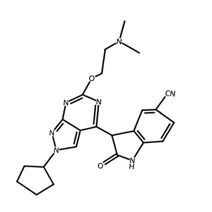 CN(C)CCOc1nc(C2C(=O)Nc3ccc(C#N)cc32)c2cn(C3CCCC3)nc2n1